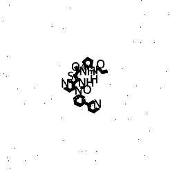 C=CC(=O)NC1CCC[C@H]1NC(=O)c1sc2nccc3c2c1NC(=O)N3c1cccc(-c2cccnc2)c1